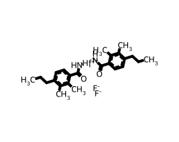 CCCc1ccc(C(=O)[NH][Hf+2][NH]C(=O)c2ccc(CCC)c(C)c2C)c(C)c1C.[F-].[F-]